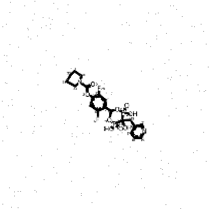 O=C(Oc1cc(F)c(C2OP(=O)(O)C(O)(Cc3cccnc3)P(=O)(O)O2)cc1F)N1CCCCC1